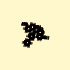 Oc1ccc2c(O)cccc2c1C(c1ccc(-c2ccccc2)cc1)c1c(O)ccc2c(O)cccc12